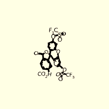 O=C(O)c1ccc2c(c1)C1(OC2=O)c2ccc(OS(=O)(=O)C(F)(F)F)cc2Oc2cc(OS(=O)(=O)C(F)(F)F)ccc21